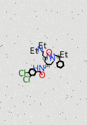 CC[C@H](CN1CC[C@H](CNC(=O)c2ccc(Cl)c(Cl)c2)C[C@@H](CCN(CC)CC)[N+]1=O)c1ccccc1